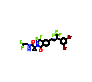 O=C(NC1(C(=O)NCC(F)F)CC1)c1ccc(/C=C/C(c2cc(Br)cc(Br)c2)C(F)(F)F)cc1C(F)(F)F